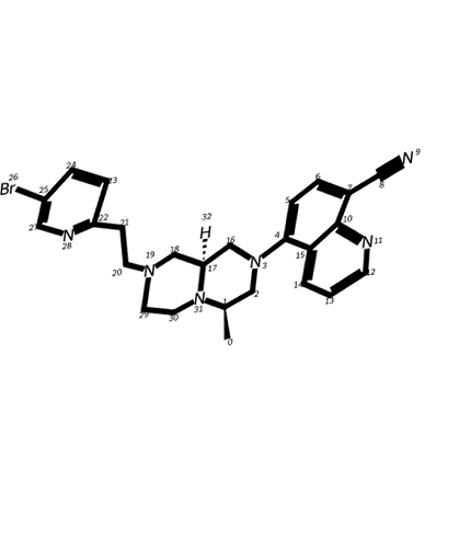 C[C@@H]1CN(c2ccc(C#N)c3ncccc23)C[C@@H]2CN(CCc3ccc(Br)cn3)CCN21